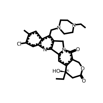 CCN1CCN(Cc2c3c(nc4cc(Cl)c(C)cc24)-c2cc4c(c(=O)n2C3)COC(=O)C[C@]4(O)CC)CC1